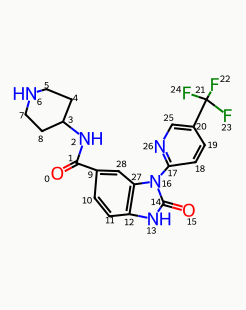 O=C(NC1CCNCC1)c1ccc2[nH]c(=O)n(-c3ccc(C(F)(F)F)cn3)c2c1